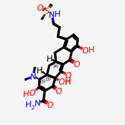 C=S(C)(=O)NCCCc1ccc(O)c2c1C[C@H]1C[C@H]3[C@H](N(C)C)C(O)=C(C(N)=O)C(=O)[C@@]3(O)C(O)=C1C2=O